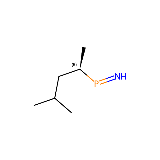 CC(C)C[C@@H](C)P=N